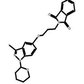 O=C1c2ccccc2C(=O)N1CCCOc1ccc2c(c1)c(I)nn2C1CCCCO1